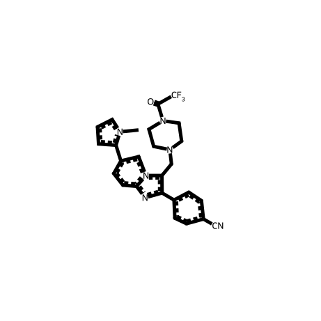 Cn1cccc1-c1ccc2nc(-c3ccc(C#N)cc3)c(CN3CCN(C(=O)C(F)(F)F)CC3)n2c1